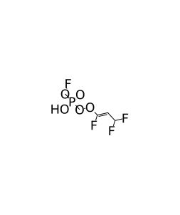 O=P(O)(OF)OOC(F)=CC(F)F